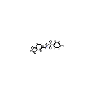 Cc1ccc(S(=O)(=O)/N=C/c2ccc3c(c2)OCO3)cc1